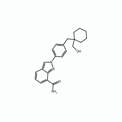 NC(=O)c1cccc2cn(-c3ccc(CC4(CO)CCCCC4)cc3)nc12